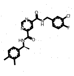 Cc1ccc([C@H](C)NC(=O)c2cc(C(=O)NCc3ccc(F)c(Cl)c3)ncn2)cc1C